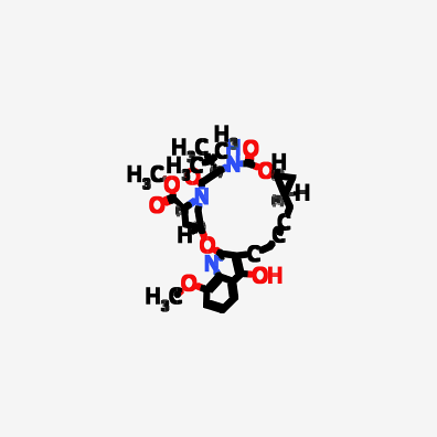 COC(=O)[C@@H]1C[C@@H]2CN1C(=O)[C@H](C(C)(C)C)NC(=O)O[C@@H]1C[C@H]1CCCCCc1c(nc3c(OC)cccc3c1O)O2